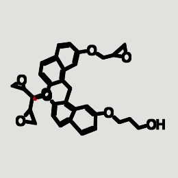 OCCCOc1ccc2ccc(OCC3CO3)c(Cc3c(OCC4CO4)ccc4ccc(OCC5CO5)cc34)c2c1